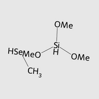 CO[SiH](OC)OC.C[SeH]